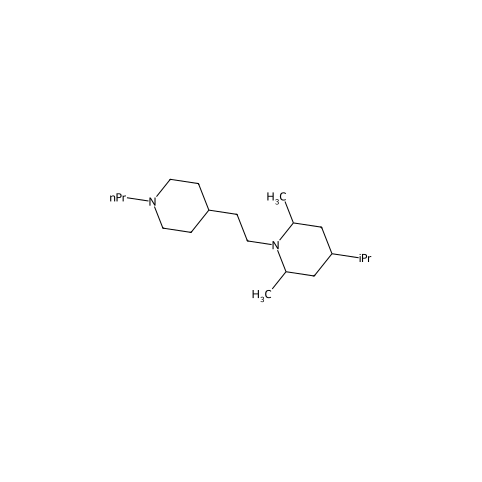 CCCN1CCC(CCN2C(C)CC(C(C)C)CC2C)CC1